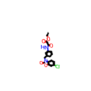 CCOC(=O)C(=O)Nc1cccc(Cn2c(=O)oc3cc(Cl)ccc32)c1